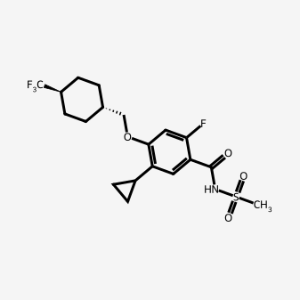 CS(=O)(=O)NC(=O)c1cc(C2CC2)c(OC[C@H]2CC[C@H](C(F)(F)F)CC2)cc1F